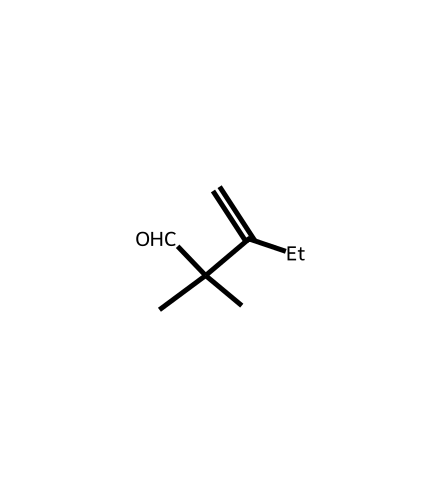 C=C(CC)C(C)(C)C=O